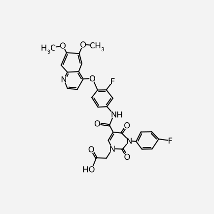 COc1cc2nccc(Oc3ccc(NC(=O)c4cn(CC(=O)O)c(=O)n(-c5ccc(F)cc5)c4=O)cc3F)c2cc1OC